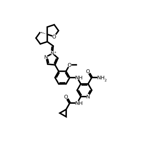 COc1c(Nc2cc(NC(=O)C3CC3)ncc2C(N)=O)cccc1C1=C/[N+](=C/C2CCC[C@@]23CCCO3)N=C1